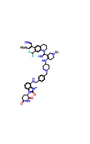 CN/C=C(\C=N)c1cc2c(cc1C(F)F)N(C(=N)C1=C(NC3CCN(Cc4ccc(CNc5cccc6c5n(C)c(=O)n6C5CCC(=O)NC5=O)cc4)CC3)CCN(C(C)=O)C1)CCC2